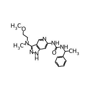 COCCN(C)c1n[nH]c2cc(NC(=O)NC(C)c3ccccc3)ncc12